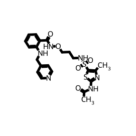 CC(=O)Nc1nc(C)c(S(=O)(=O)NCCCONC(=O)c2ccccc2NCc2ccncc2)s1